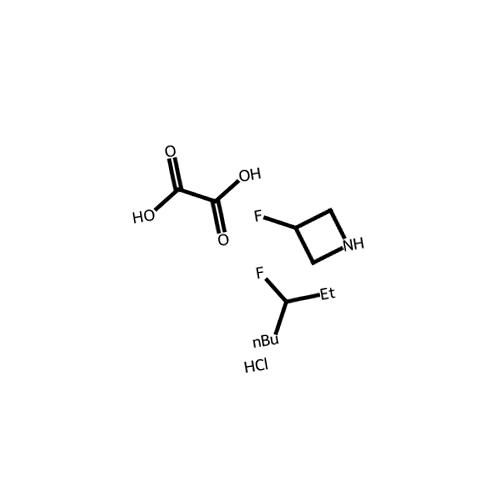 CCCCC(F)CC.Cl.FC1CNC1.O=C(O)C(=O)O